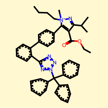 CCCC[N+]1(C)N=C(C(C)C)C(C(=O)OCC)=C1c1ccc(-c2ccccc2-c2nnn(C(c3ccccc3)(c3ccccc3)c3ccccc3)n2)cc1